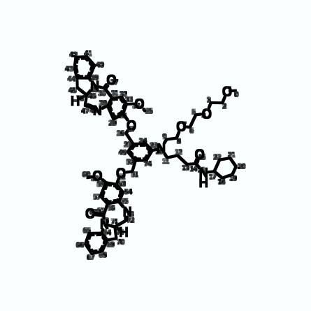 COCCOCCOCCN(CCCC(=O)NC1CCCCC1)c1cc(COc2cc3c(cc2OC)C(=O)N2c4ccccc4C[C@H]2C=N3)cc(COc2cc3c(cc2OC)C(=O)N2c4ccccc4C[C@H]2C=N3)c1